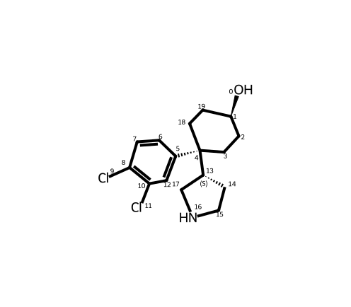 O[C@H]1CC[C@@](c2ccc(Cl)c(Cl)c2)([C@@H]2CCNC2)CC1